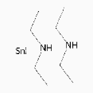 CCNCC.CCNCC.[Sn]